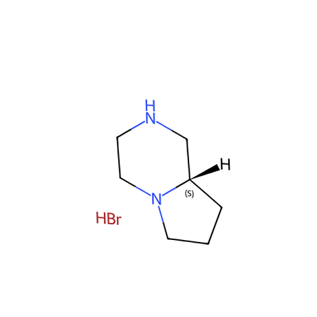 Br.C1C[C@H]2CNCCN2C1